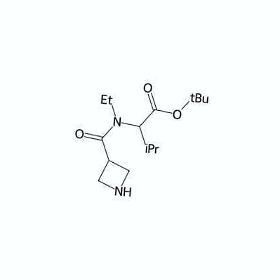 CCN(C(=O)C1CNC1)C(C(=O)OC(C)(C)C)C(C)C